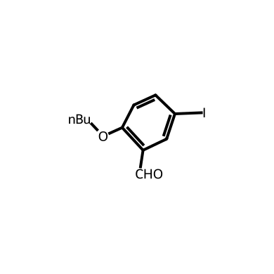 CCCCOc1ccc(I)cc1C=O